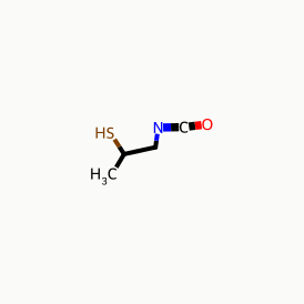 CC(S)CN=C=O